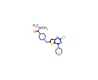 CN(C)C(=O)C1CCN(Cc2cc3nc(Cl)nc(N4CCOCC4)c3s2)CC1